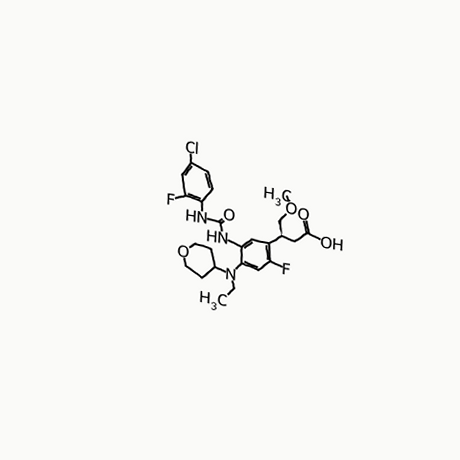 CCN(c1cc(F)c([C@@H](COC)CC(=O)O)cc1NC(=O)Nc1ccc(Cl)cc1F)C1CCOCC1